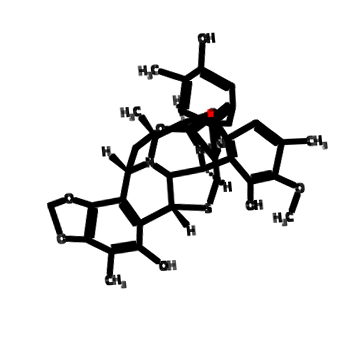 COc1c(C)cc2c(c1O)[C@@H]1N[C@H](C2)[C@H](C)N2C1[C@@H]1SC[C@]3(NCCc4cc(O)c(C)cc43)C(=O)OC[C@H]2c2c3c(c(C)c(O)c21)OCO3